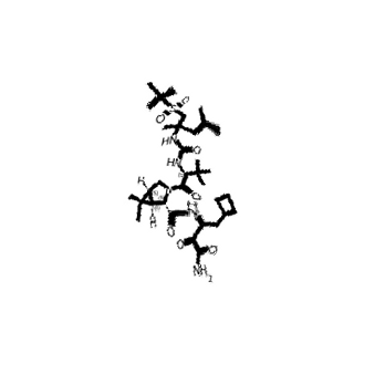 CC(C)CC(C)(CS(=O)(=O)C(C)(C)C)NC(=O)N[C@H](C(=O)N1C[C@H]2[C@@H]([C@H]1C(=O)NC(CC1CCC1)C(=O)C(N)=O)C2(C)C)C(C)(C)C